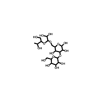 CC(O)C(CO)OC(OCC1OC(O)C(O)C(OC2OC(CO)C(O)C(O)C2O)C1O)C(O)O